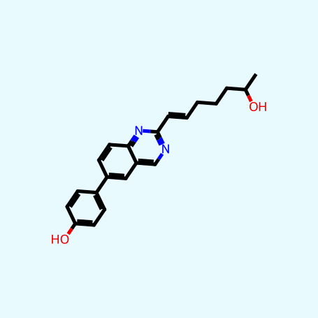 CC(O)CCC/C=C/c1ncc2cc(-c3ccc(O)cc3)ccc2n1